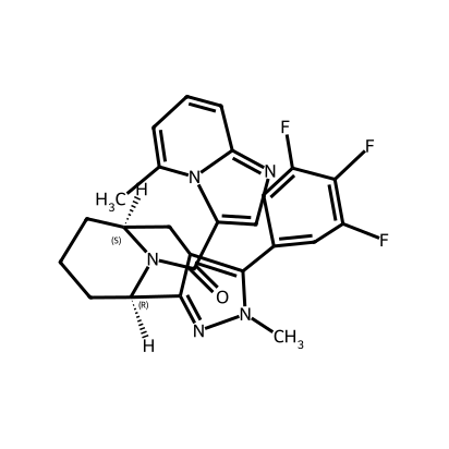 Cc1cccc2ncc(C(=O)N3[C@H]4CCC[C@@H]3c3nn(C)c(-c5cc(F)c(F)c(F)c5)c3C4)n12